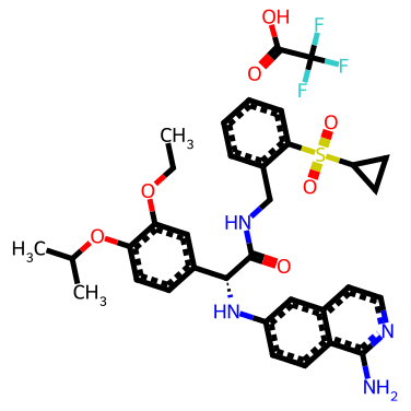 CCOc1cc([C@@H](Nc2ccc3c(N)nccc3c2)C(=O)NCc2ccccc2S(=O)(=O)C2CC2)ccc1OC(C)C.O=C(O)C(F)(F)F